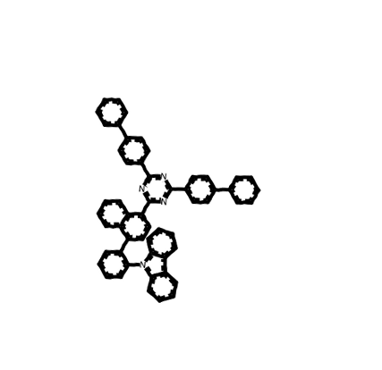 c1ccc(-c2ccc(-c3nc(-c4ccc(-c5ccccc5)cc4)nc(-c4ccc(-c5ccccc5-n5c6ccccc6c6ccccc65)c5ccccc45)n3)cc2)cc1